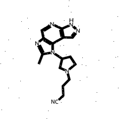 Cc1nc2cnc3[nH]ncc3c2n1C1CCN(CCCC#N)C1